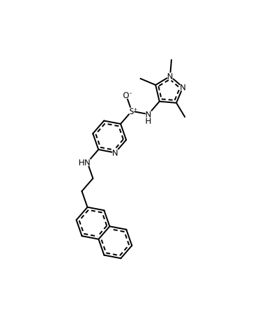 Cc1nn(C)c(C)c1N[S+]([O-])c1ccc(NCCc2ccc3ccccc3c2)nc1